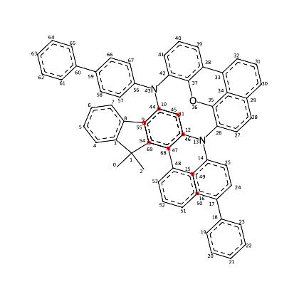 CC1(C)c2ccccc2-c2ccc(N(c3ccc(-c4ccccc4)cc3)c3ccc4cccc5c4c3Oc3c-5cccc3N(c3ccc(-c4ccccc4)cc3)c3ccc(-c4ccccc4)cc3)cc21